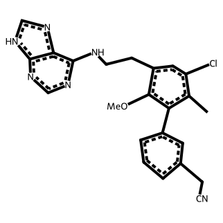 COc1c(CCNc2ncnc3[nH]cnc23)cc(Cl)c(C)c1-c1cccc(CC#N)c1